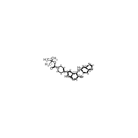 CC(C)(C)OC(=O)N1CC=C(c2cc3c(Nc4ccc5ncsc5c4)c(Br)cnc3[nH]2)CC1